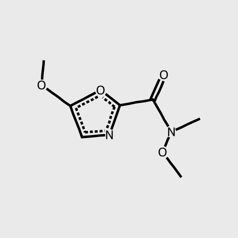 COc1cnc(C(=O)N(C)OC)o1